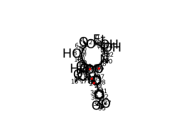 CC[C@H]1OC(=O)[C@H](C)[C@@H](O)[C@H](C)[C@@H](O[C@@H]2O[C@H](C)C[C@H](N(C)C)[C@H]2OC(=O)c2ccc(-c3ccc(S(C)(=O)=O)cc3)cc2)[C@](C)(O)C[C@@H](C)CN(C)[C@H](C)[C@@H](O)[C@]1(C)O